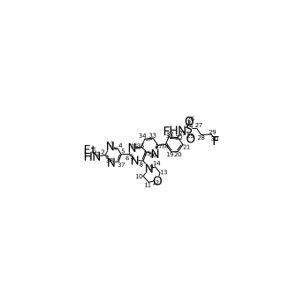 CCNc1ncc(-c2nc(N3CCOCC3)c3nc(-c4cccc(NS(=O)(=O)CCCF)c4F)ccc3n2)cn1